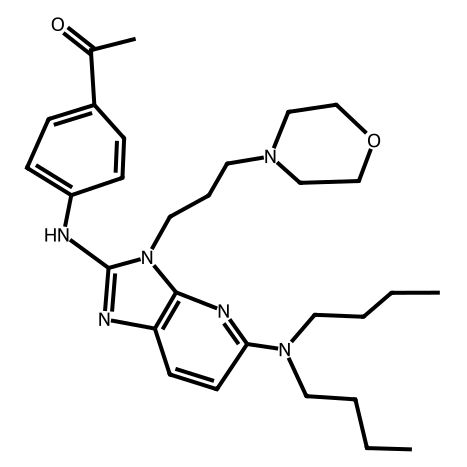 CCCCN(CCCC)c1ccc2nc(Nc3ccc(C(C)=O)cc3)n(CCCN3CCOCC3)c2n1